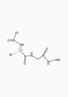 CCCCNC(=O)CNC(=O)[C@@H](NC(=O)CC)C(C)C